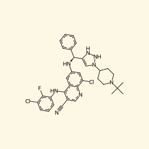 CC(C)(C)N1CCC(N2C=C([C@@H](Nc3cc(Cl)c4ncc(C#N)c(Nc5cccc(Cl)c5F)c4c3)c3ccccc3)NN2)CC1